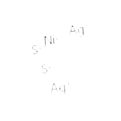 [Ag+].[Ag+].[Ni+2].[S-2].[S-2]